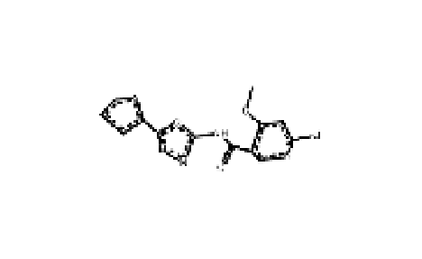 COc1cc(Cl)ncc1C(=O)Nc1nnc(-c2cccs2)o1